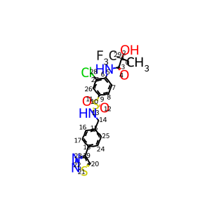 C[C@@](O)(C(=O)Nc1ccc(S(=O)(=O)NCc2ccc(-c3csnn3)cc2)cc1Cl)C(F)(F)F